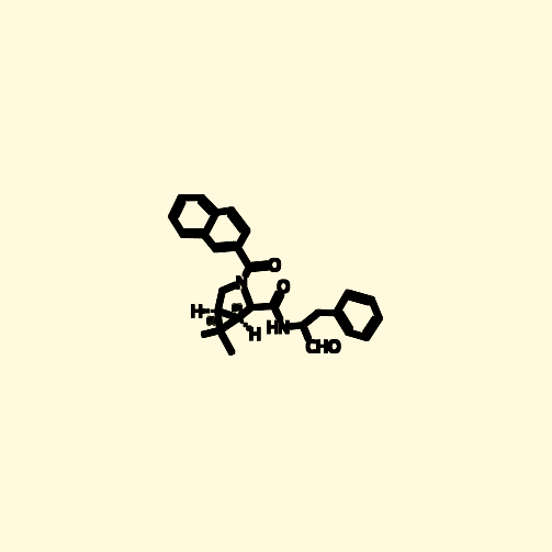 CC1(C)[C@@H]2C(C(=O)NC(C=O)Cc3ccccc3)N(C(=O)c3ccc4ccccc4c3)C[C@@H]21